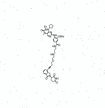 CC[C@@H]1C(=O)N(C)c2cnc(Nc3ccc(C(=O)NCCCNCCOCCC#Cc4cccc5c4CN(C4CCC(=O)NC4=O)C5=O)cc3OC)nc2N1C1CCCC1